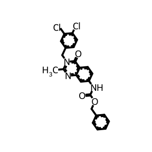 Cc1nc2cc(NC(=O)OCc3ccccc3)ccc2c(=O)n1Cc1ccc(Cl)c(Cl)c1